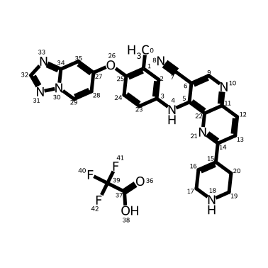 Cc1cc(Nc2c(C#N)cnc3ccc(C4=CCNCC4)nc23)ccc1Oc1ccn2ncnc2c1.O=C(O)C(F)(F)F